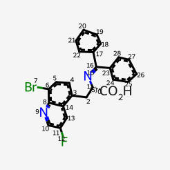 O=C(O)[C@H](Cc1ccc(Br)c2ncc(F)cc12)N=C(c1ccccc1)c1ccccc1